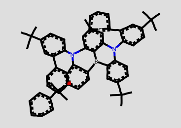 Cc1cc2c3c(c1)N(c1ccc(C(C)(C)C)cc1-c1ccccc1)c1cc(C(C)(C)c4ccccc4)ccc1B3c1cc(C(C)(C)C)ccc1N2c1ccc(C(C)(C)C)cc1-c1ccccc1